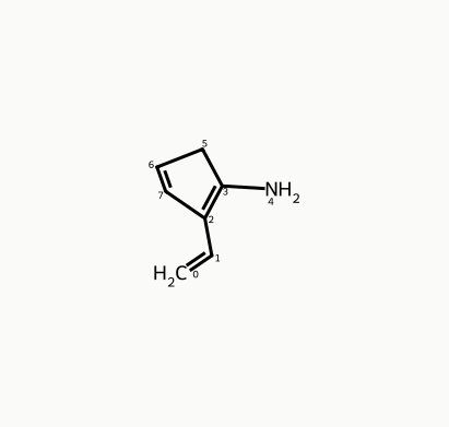 C=CC1=C(N)CC=C1